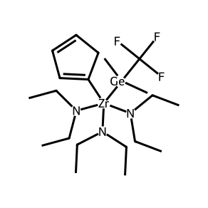 CC[N](CC)[Zr]([C]1=CC=CC1)([N](CC)CC)([N](CC)CC)[Ge]([CH3])([CH3])[C](F)(F)F